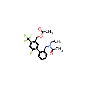 CCN(Cc1ccccc1-c1cc(COC(C)=O)c(C(F)(F)F)cc1F)C(C)=O